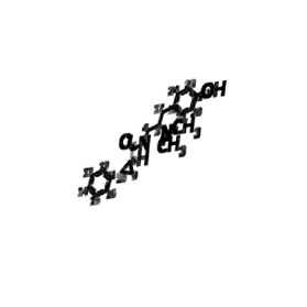 CN(C)C(CNC(=O)[C@@H]1C[C@@H]1c1ccccc1)Cc1ccc(O)cc1